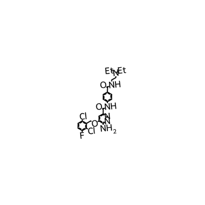 CCN(CC)CCNC(=O)c1ccc(NC(=O)c2cc(OCc3c(Cl)ccc(F)c3Cl)c(N)nn2)cc1